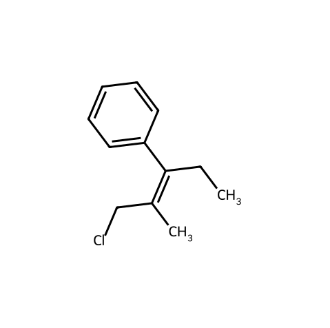 CC/C(=C(\C)CCl)c1ccccc1